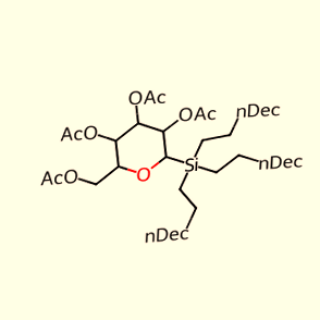 CCCCCCCCCCCC[Si](CCCCCCCCCCCC)(CCCCCCCCCCCC)C1OC(COC(C)=O)C(OC(C)=O)C(OC(C)=O)C1OC(C)=O